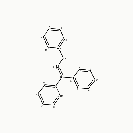 c1ccc(C(=NCc2ccccn2)c2ccccc2)cc1